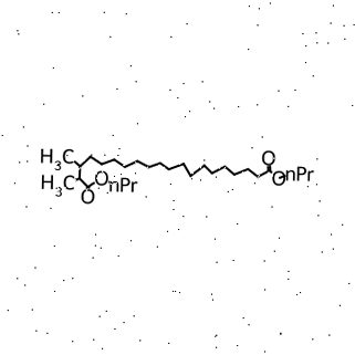 CCCOC(=O)CCCCCCCCCCCCCCCCC(C)C(C)C(=O)OCCC